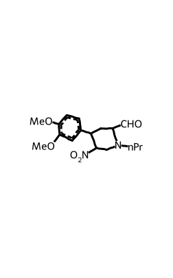 CCCN1CC([N+](=O)[O-])C(c2ccc(OC)c(OC)c2)CC1C=O